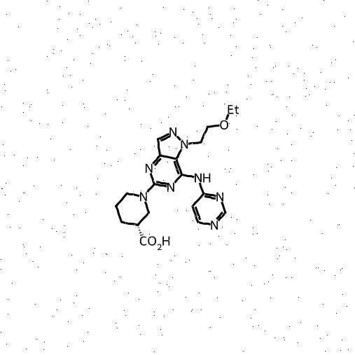 CCOCCn1ncc2nc(N3CCC[C@@H](C(=O)O)C3)nc(Nc3ccncn3)c21